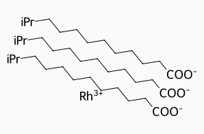 CC(C)CCCCCCCCCC(=O)[O-].CC(C)CCCCCCCCCC(=O)[O-].CC(C)CCCCCCCCCC(=O)[O-].[Rh+3]